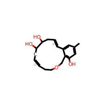 Cc1cc(O)c2c(c1)/C=C/CC(O)C(O)C/C=C\CCOC2